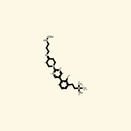 CSNCCCN=C1CCN(c2ncc(-c3cccc(CCS(C)(C)C(C)(C)C)c3F)cn2)CC1